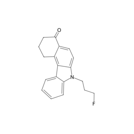 O=C1CCCc2c1ccc1c2c2ccccc2n1CCCF